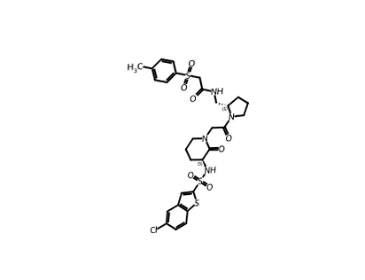 Cc1ccc(S(=O)(=O)CC(=O)NC[C@@H]2CCCN2C(=O)CN2CCC[C@H](NS(=O)(=O)c3cc4cc(Cl)ccc4s3)C2=O)cc1